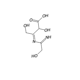 N=C(CO)N=C(CO)C(O)C(=O)O